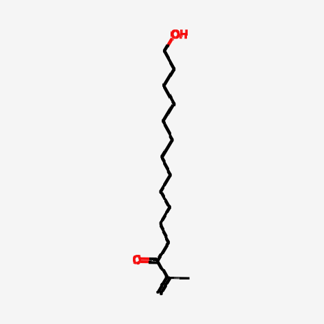 C=C(C)C(=O)CCCCCCCCCCCCO